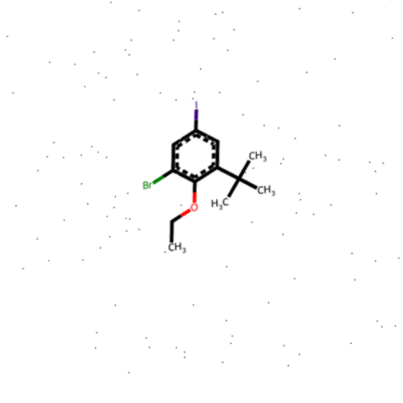 CCOc1c(Br)cc(I)cc1C(C)(C)C